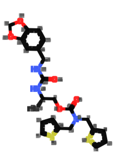 CCCC[C@H](COC(=O)N(Cc1cccs1)Cc1cccs1)NC(=O)NCc1ccc2c(c1)OCO2